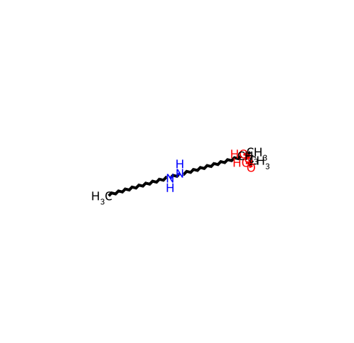 CC(=O)O.CC(=O)O.CCCCCCCCCCCCCCCCCCNCCNCCCCCCCCCCCCCCCCCC